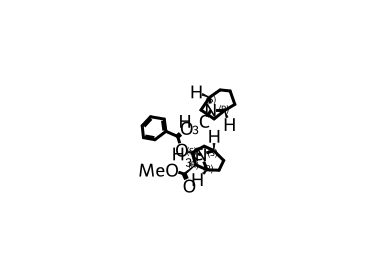 CN1[C@@H]2CCC[C@H]1CC2.COC(=O)[C@H]1[C@@H](OC(=O)c2ccccc2)C[C@@H]2CC[C@H]1N2C